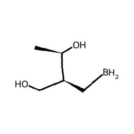 BC[C@@H](CO)[C@@H](C)O